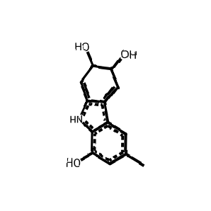 Cc1cc(O)c2[nH]c3c(c2c1)=CC(O)C(O)C=3